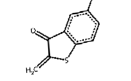 C=C1Sc2ccc(C(=O)O)cc2C1=O